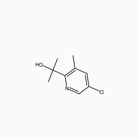 Cc1cc(Cl)cnc1C(C)(C)O